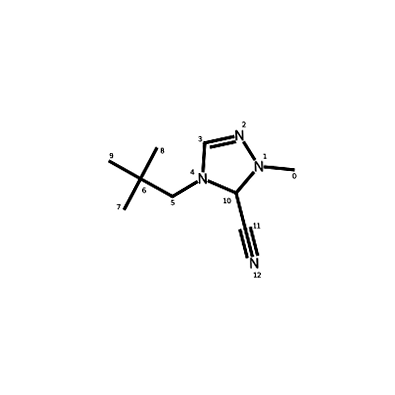 CN1N=CN(CC(C)(C)C)C1C#N